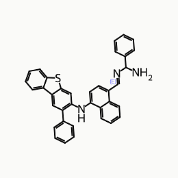 NC(/N=C/c1ccc(Nc2cc3sc4ccccc4c3cc2-c2ccccc2)c2ccccc12)c1ccccc1